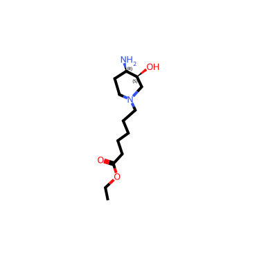 CCOC(=O)CCCCCN1CC[C@@H](N)[C@@H](O)C1